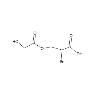 O=C(CO)OCC(Br)C(=O)O